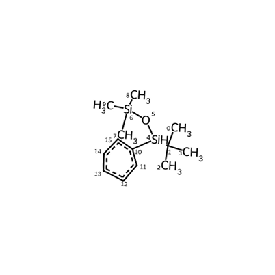 CC(C)(C)[SiH](O[Si](C)(C)C)c1ccccc1